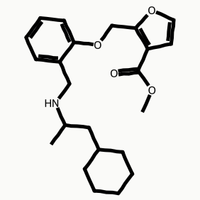 COC(=O)c1ccoc1COc1ccccc1CNC(C)CC1CCCCC1